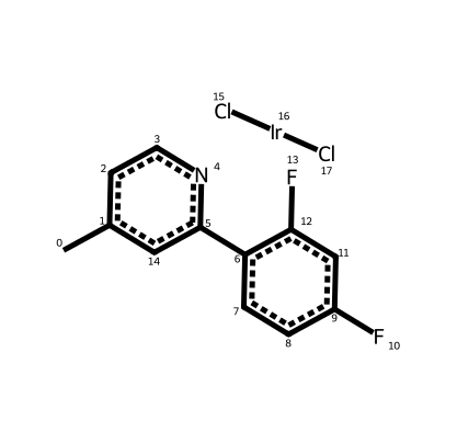 Cc1ccnc(-c2ccc(F)cc2F)c1.[Cl][Ir][Cl]